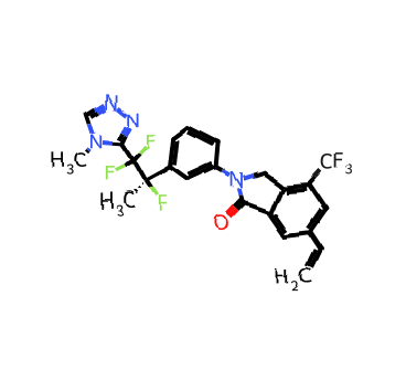 C=Cc1cc2c(c(C(F)(F)F)c1)CN(c1cccc([C@@](C)(F)C(F)(F)c3nncn3C)c1)C2=O